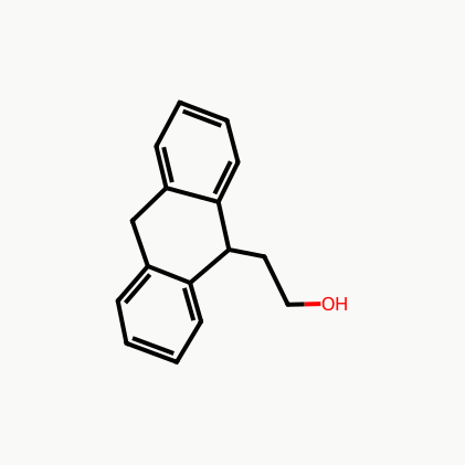 OCCC1c2ccccc2Cc2ccccc21